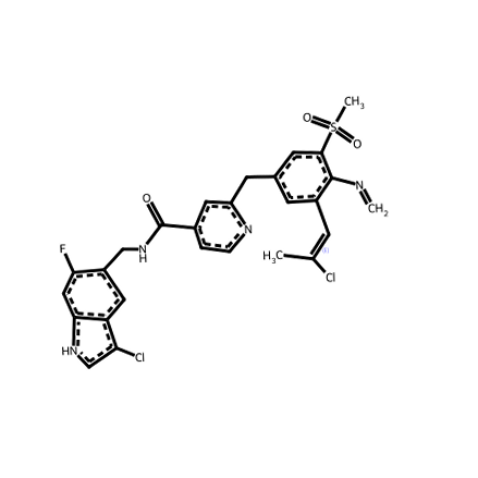 C=Nc1c(/C=C(\C)Cl)cc(Cc2cc(C(=O)NCc3cc4c(Cl)c[nH]c4cc3F)ccn2)cc1S(C)(=O)=O